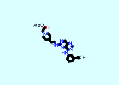 C#Cc1cccc(Nc2ncnc3cnc(NCCC4CCN(CC(=O)OC)CC4)nc23)c1